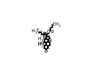 CCCCC(=O)OCC(=O)[C@@]1(OC(=O)CCCC)CC[C@H]2C3=C([C@@H](O)C[C@@]21C)[C@@]1(C)C=CC(=O)C=C1CC3